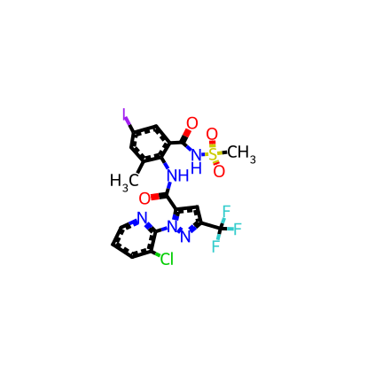 Cc1cc(I)cc(C(=O)NS(C)(=O)=O)c1NC(=O)c1cc(C(F)(F)F)nn1-c1ncccc1Cl